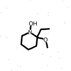 CCC1(OC)CCCCN1O